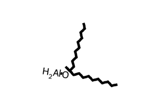 CCCCCCCCCCC(C)(CCCCCCCCCC)[O][AlH2]